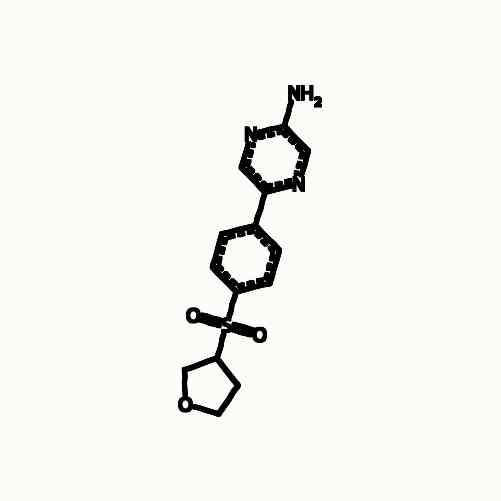 Nc1cnc(-c2ccc(S(=O)(=O)C3CCOC3)cc2)cn1